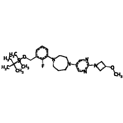 COC1CN(c2ncc(N3CCCN(c4cccc(CO[Si](C)(C)C(C)(C)C)c4F)CC3)cn2)C1